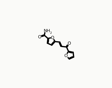 NC(=O)c1ccc(/C=C/C(=O)c2ccco2)o1